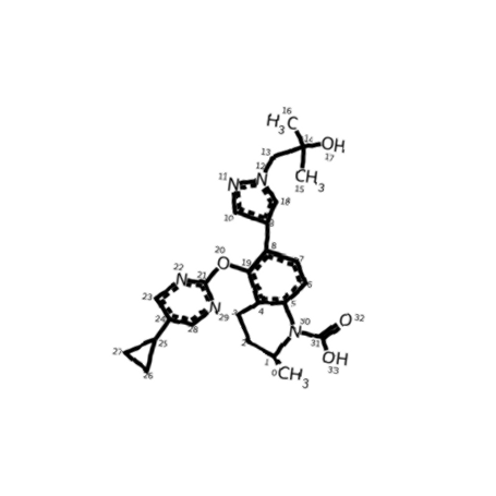 C[C@H]1CCc2c(ccc(-c3cnn(CC(C)(C)O)c3)c2Oc2ncc(C3CC3)cn2)N1C(=O)O